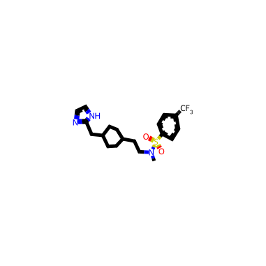 CN(CCC1CCC(Cc2ncc[nH]2)CC1)S(=O)(=O)c1ccc(C(F)(F)F)cc1